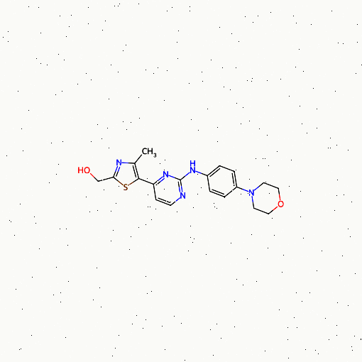 Cc1nc(CO)sc1-c1ccnc(Nc2ccc(N3CCOCC3)cc2)n1